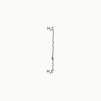 CCCCCCCCCCCCCCCCCCCCCCCCSCCCCCCCCCC